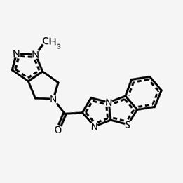 Cn1ncc2c1CN(C(=O)c1cn3c(n1)sc1ccccc13)C2